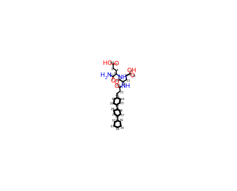 NC(=O)C(CCC(=O)O)NC(=O)C(CCC(=O)O)NC(=O)CCc1ccc(-c2ccc(-c3ccccc3)cc2)cc1